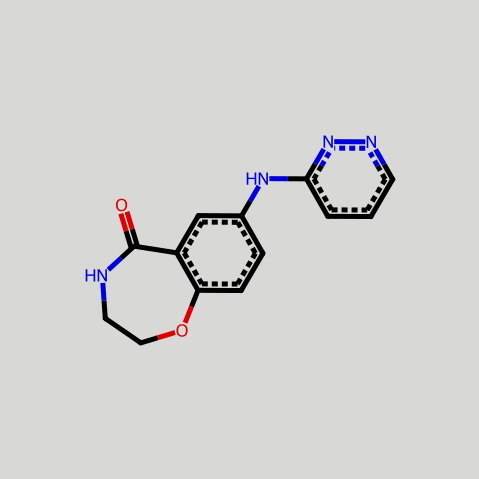 O=C1NCCOc2ccc(Nc3cccnn3)cc21